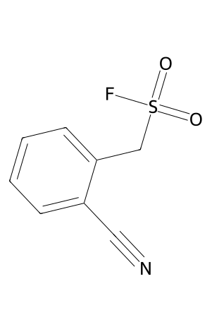 N#Cc1ccccc1CS(=O)(=O)F